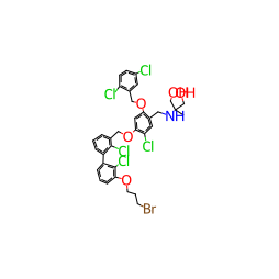 CC(CO)(CO)NCc1cc(Cl)c(OCc2cccc(-c3cccc(OCCCBr)c3Cl)c2Cl)cc1OCc1cc(Cl)ccc1Cl